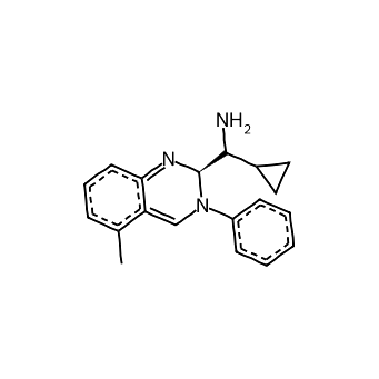 Cc1cccc2c1=CN(c1ccccc1)[C@H](C(N)C1CC1)N=2